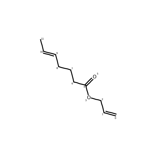 C=CCOC(=O)CCCC=CC